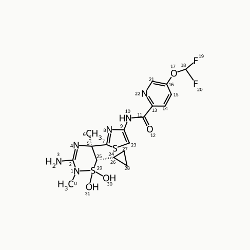 CN1C(N)=N[C@@](C)(c2nc(NC(=O)c3ccc(OC(F)F)cn3)cs2)[C@H](C2CC2)S1(O)O